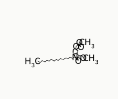 CCCCCCCCCCCCCCCCN1C(=O)C(=COC)c2cc(OC(=O)OC)ccc21